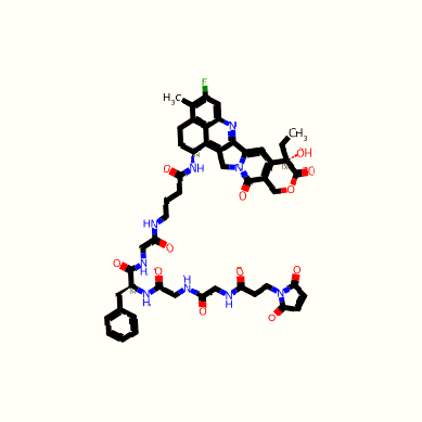 CC[C@@]1(O)C(=O)OCc2c1cc1n(c2=O)Cc2c-1nc1cc(F)c(C)c3c1c2[C@@H](NC(=O)CCCNC(=O)CNC(=O)[C@H](Cc1ccccc1)NC(=O)CNC(=O)CNC(=O)CCN1C(=O)C=CC1=O)CC3